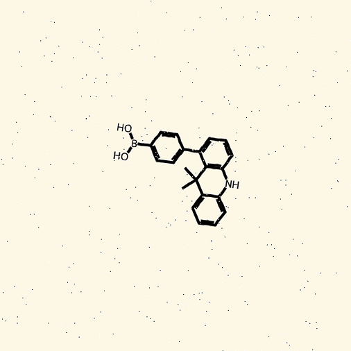 CC1(C)c2ccccc2Nc2cccc(-c3ccc(B(O)O)cc3)c21